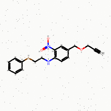 C#CCOCc1ccc(NCCSc2ccccc2)c([N+](=O)[O-])c1